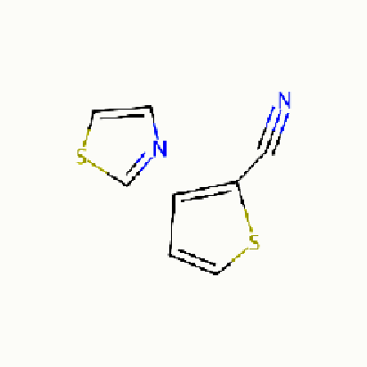 N#Cc1cccs1.c1cscn1